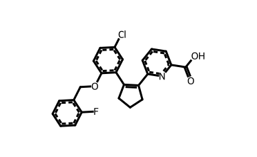 O=C(O)c1cccc(C2=C(c3cc(Cl)ccc3OCc3ccccc3F)CCC2)n1